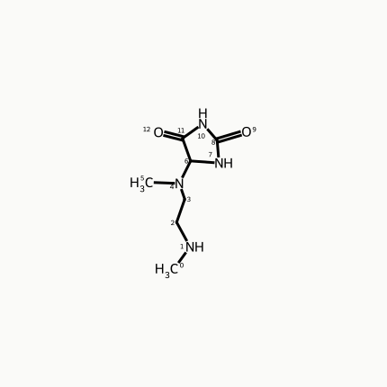 CNCCN(C)C1NC(=O)NC1=O